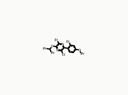 CCc1cc(OC(C)C)ccc1-c1nc(CC)c(OC(C(C)C)C(C)C)nc1CC